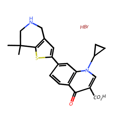 Br.CC1(C)CNCc2cc(-c3ccc4c(=O)c(C(=O)O)cn(C5CC5)c4c3)sc21